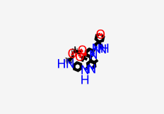 Cc1cnc(N[C@H]2CC[C@H](N[C@H](C)CO[C@@H](C)C(=O)OC(C)(C)C)CC2)cc1-c1cccc(NCC2(C#N)CCOCC2)n1